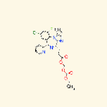 CCOC(=O)OCOC(=O)CC[C@@H]1N=C(c2ccccn2)c2cc(Cl)cc(F)c2-n2c(C)cnc21